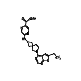 CNC(=O)c1cnc(NC2CC3(CCN(c4ncnc5sc(CC(F)(F)F)cc45)C3)C2)cn1